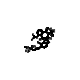 [2H]C([2H])([2H])N1C(=O)c2cccc(OC(F)F)c2[C@H]2C[C@@H]1c1nc3ccc(C#CC[Si](C)(C)C)c(F)c3n12